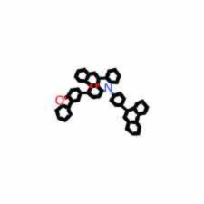 c1ccc(N(c2ccc(-c3ccc4oc5ccccc5c4c3)cc2)c2ccc(-c3cc4ccccc4c4ccccc34)cc2)c(-c2ccc3ccccc3c2)c1